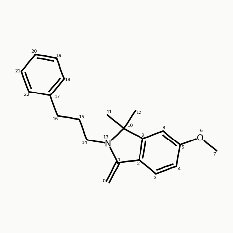 C=C1c2ccc(OC)cc2C(C)(C)N1CCCc1ccccc1